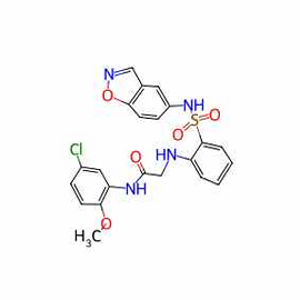 COc1ccc(Cl)cc1NC(=O)CNc1ccccc1S(=O)(=O)Nc1ccc2oncc2c1